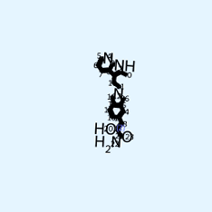 Cc1[nH]c2ncccc2c1CCN1Cc2ccc(/C=C(\O)C(N)=O)cc2C1